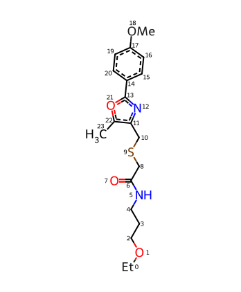 CCOCCCNC(=O)CSCc1nc(-c2ccc(OC)cc2)oc1C